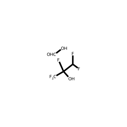 O=CO.OC(F)(C(F)F)C(F)(F)F